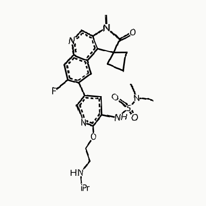 CC(C)NCCOc1ncc(-c2cc3c4c(cnc3cc2F)N(C)C(=O)C42CCC2)cc1NS(=O)(=O)N(C)C